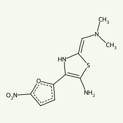 CN(C)C=C1NC(c2ccc([N+](=O)[O-])o2)=C(N)S1